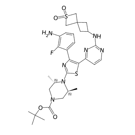 C[C@H]1CN(C(=O)OC(C)(C)C)C[C@H](C)N1c1nc(-c2cccc(N)c2F)c(-c2ccnc(NC3CC4(C3)CS(=O)(=O)C4)n2)s1